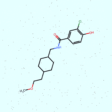 COCCC1CCC(CNC(=O)c2ccc(O)c(Cl)c2)CC1